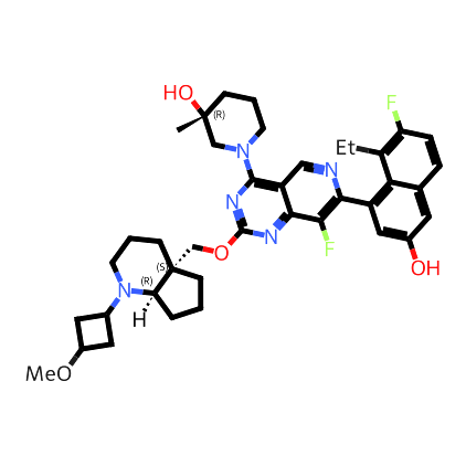 CCc1c(F)ccc2cc(O)cc(-c3ncc4c(N5CCC[C@@](C)(O)C5)nc(OC[C@]56CCC[C@H]5N(C5CC(OC)C5)CCC6)nc4c3F)c12